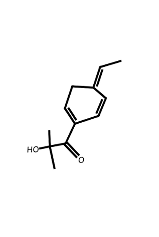 CC=C1C=CC(C(=O)C(C)(C)O)=CC1